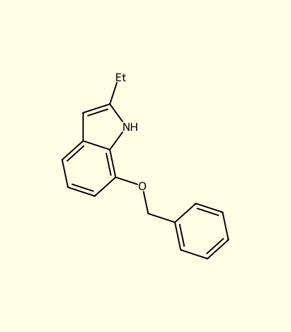 CCc1cc2cccc(OCc3ccccc3)c2[nH]1